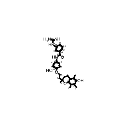 Cc1c(C)c2c(c(C)c1O)CCC(C)(CCOc1ccc(NC(=O)c3cccc(NC(=N)N)c3)cc1)O2.Cl